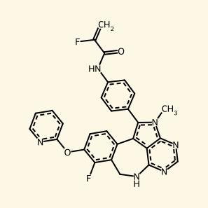 C=C(F)C(=O)Nc1ccc(-c2c3c4c(ncnc4n2C)NCc2c-3ccc(Oc3ccccn3)c2F)cc1